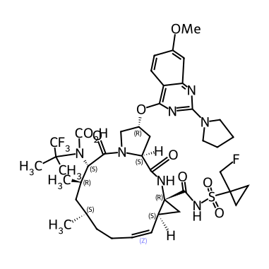 COc1ccc2c(O[C@@H]3C[C@H]4C(=O)N[C@]5(C(=O)NS(=O)(=O)C6(CF)CC6)C[C@H]5/C=C\CC[C@H](C)C[C@@H](C)[C@H](N(C(=O)O)C(C)(C)C(F)(F)F)C(=O)N4C3)nc(N3CCCC3)nc2c1